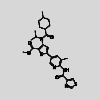 COC(=O)c1sc(-c2cnc(NC(=O)c3cscn3)c(C)c2)cc1N(C(=O)C1CCC(C)CC1)C(C)C